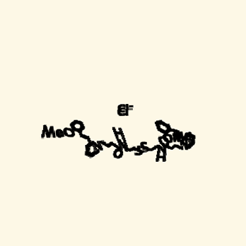 COc1ccccc1C=Cc1cccc[n+]1CCCC(=O)NCCSSCCNC(=O)CCC[n+]1ccccc1C=Cc1ccccc1OC.[Cl-].[Cl-]